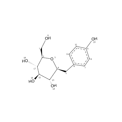 OC[C@H]1O[C@@H](Cc2ccc(O)cc2)[C@H](O)[C@@H](O)[C@@H]1O